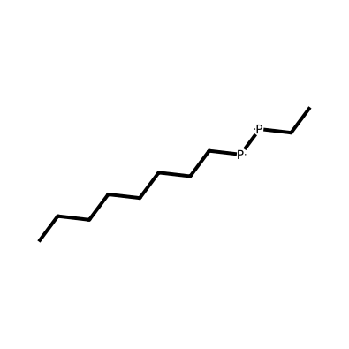 CCCCCCCC[P][P]CC